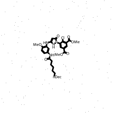 CCCCCCCCCCCCCCCC(=O)Nc1ccc(OC)c(Nc2cc(=O)n(-c3cc(C(=O)OC)cc(C(=O)OC)c3Cl)[nH]2)c1